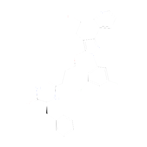 NC(=O)[C@H](Cc1ccccc1)NC(=O)CCCOc1c(CCO)c(-c2cccnc2)nn1-c1cc(Cl)cc(Cl)c1